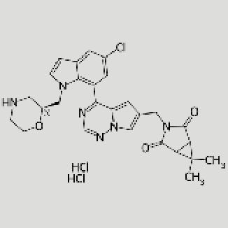 CC1(C)C2C(=O)N(Cc3cc4c(-c5cc(Cl)cc6ccn(C[C@@H]7CNCCO7)c56)ncnn4c3)C(=O)C21.Cl.Cl